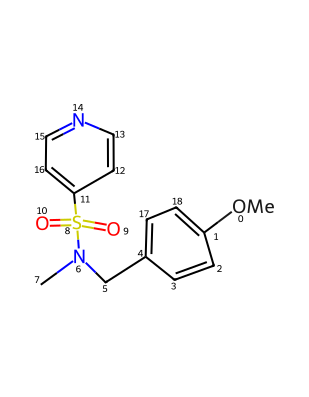 COc1ccc(CN(C)S(=O)(=O)c2ccncc2)cc1